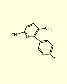 [C-]#[N+]c1ccc(C)c(-c2ccc(F)cc2)n1